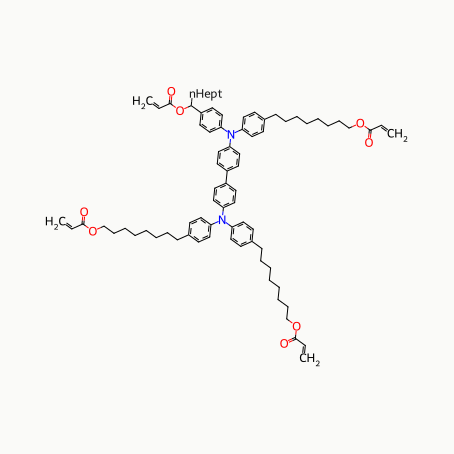 C=CC(=O)OCCCCCCCCc1ccc(N(c2ccc(CCCCCCCCOC(=O)C=C)cc2)c2ccc(-c3ccc(N(c4ccc(CCCCCCCCOC(=O)C=C)cc4)c4ccc(C(CCCCCCC)OC(=O)C=C)cc4)cc3)cc2)cc1